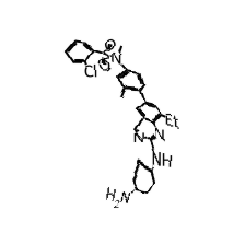 CCc1cc(-c2ccc(N(C)S(=O)(=O)c3ccccc3Cl)cc2C)cc2cnc(N[C@H]3CC[C@H](N)CC3)nc12